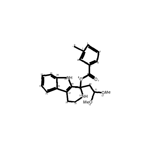 [CH2]c1cccc(C(=O)OC2(CC(OC)OC)NCCc3c2[nH]c2ccccc32)c1